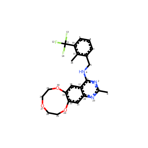 Cc1nc(NCc2cccc(C(F)(F)F)c2C)c2cc3c(cc2n1)OCCOCCO3